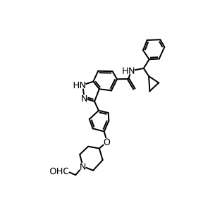 C=C(NC(c1ccccc1)C1CC1)c1ccc2[nH]nc(-c3ccc(OC4CCN(CC=O)CC4)cc3)c2c1